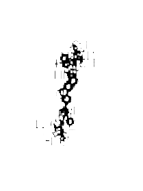 COC(=O)N[C@H](C(=O)N1CCCC1c1ncc(-c2ccc3c(c2)OCc2cc4c(ccc5nc([C@@H]6C[C@@H]7CCC[C@@H]7N6C(=O)[C@@H](NC(=O)OC)C(C)C)[nH]c54)cc2-3)[nH]1)C(C)C